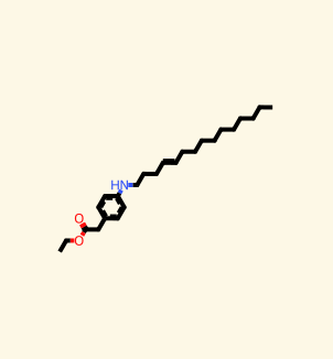 CCCCCCCCCC/C=C/CCCNc1ccc(CC(=O)OCC)cc1